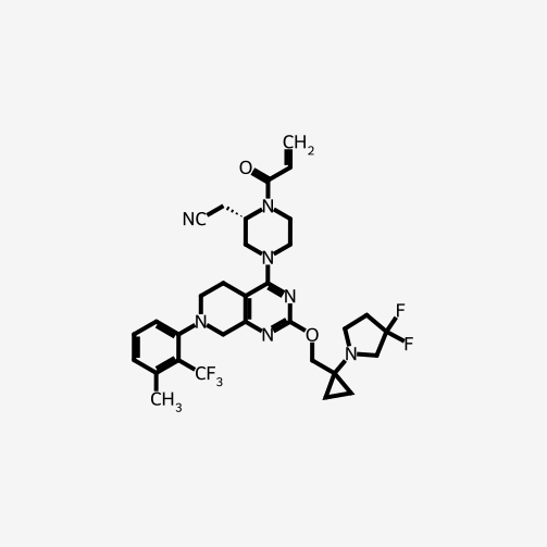 C=CC(=O)N1CCN(c2nc(OCC3(N4CCC(F)(F)C4)CC3)nc3c2CCN(c2cccc(C)c2C(F)(F)F)C3)C[C@@H]1CC#N